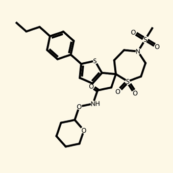 CCCc1ccc(-c2ccc(C3(CC(=O)NOC4CCCCO4)CCN(S(C)(=O)=O)CCS3(=O)=O)s2)cc1